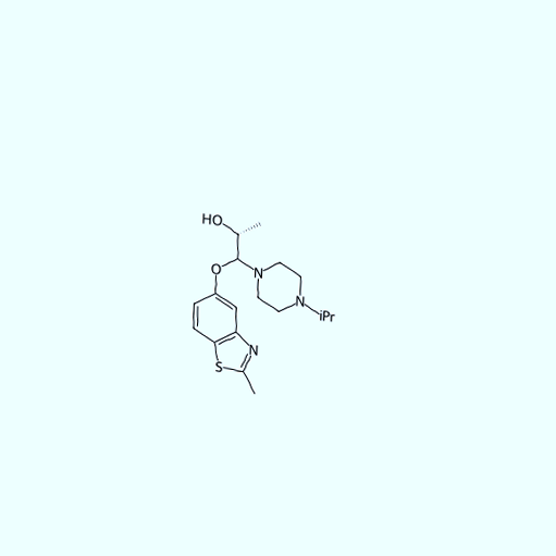 Cc1nc2cc(OC([C@@H](C)O)N3CCN(C(C)C)CC3)ccc2s1